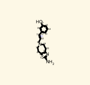 Nc1nc2c(s1)CCN(C/C=C/c1cccc(O)c1)CC2